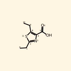 CCc1nc(C(=O)O)c(CC)s1